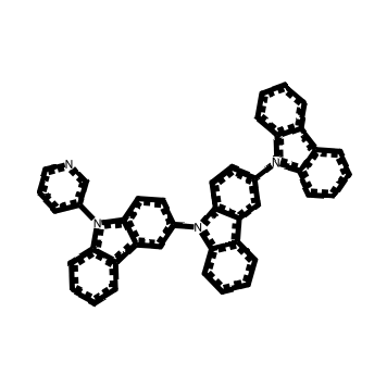 c1cncc(-n2c3ccccc3c3cc(-n4c5ccccc5c5cc(-n6c7ccccc7c7ccccc76)ccc54)ccc32)c1